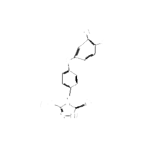 Cc1n[nH]c(=O)n1-c1ccc(Oc2ccc(Cl)c(Cl)c2)cc1